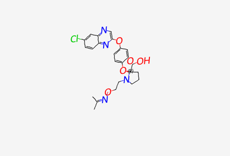 CC(C)=NOCCN1CCC[C@@]1(Oc1ccc(Oc2cnc3cc(Cl)ccc3n2)cc1)C(=O)O